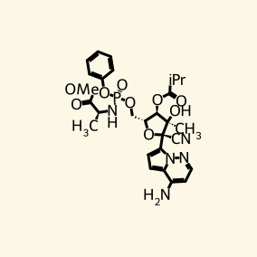 COC(=O)[C@H](C)N[P@](=O)(OC[C@H]1O[C@@](C#N)(c2ccc3c(N)ccnn23)[C@](C)(O)[C@@H]1OC(=O)C(C)C)Oc1ccccc1